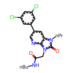 CCCCNC(=O)Cn1c(=O)n(CCC)c2cc(-c3cc(Cl)cc(Cl)c3)cnc21